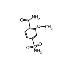 COc1cc(S(N)(=O)=O)ccc1C(N)=O